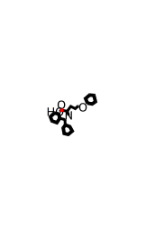 O=C(O)C(CCCOc1ccccc1)N=C(c1ccccc1)c1ccccc1